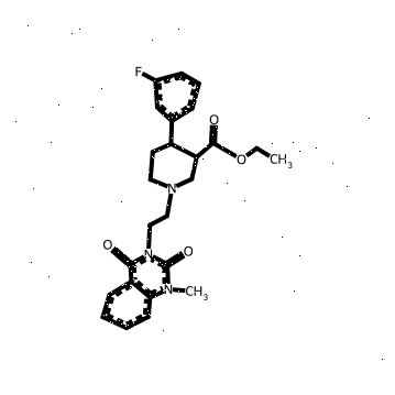 CCOC(=O)C1CN(CCn2c(=O)c3ccccc3n(C)c2=O)CCC1c1cccc(F)c1